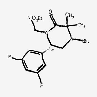 CCOC(=O)CN1C(=O)C(C)(C)N(C(C)(C)C)C[C@@H]1c1cc(F)cc(F)c1